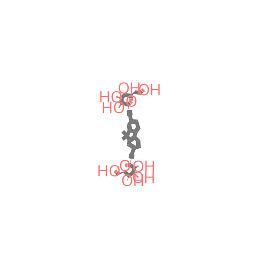 CC1(C)c2cc(C#C[C@H]3O[C@H](CO)[C@@H](O)[C@H](O)[C@@H]3O)ccc2-c2ccc(C#C[C@H]3O[C@H](CCO)[C@@H](O)[C@H](O)[C@@H]3O)cc21